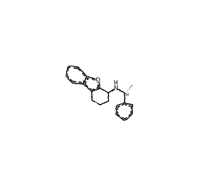 C[C@@H](NC1CCCc2c1oc1ccccc21)c1ccccc1